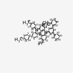 Cc1ccc(-c2ccc3c(c2)N(c2ccc(C)cc2)c2cc(C)cc4c2B3c2cc(C(C)C)ccc2N4c2cc(-c3ccccc3)cc(-c3ccccc3C)c2)cc1